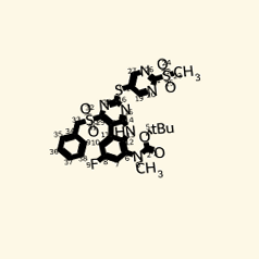 CN(C(=O)OC(C)(C)C)c1cc(F)cc2c1[nH]c1nc(Sc3cnc(S(C)(=O)=O)nc3)nc(S(=O)(=O)Cc3ccccc3)c12